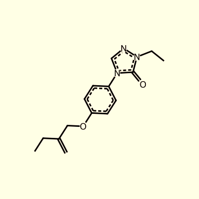 C=C(CC)COc1ccc(-n2cnn(CC)c2=O)cc1